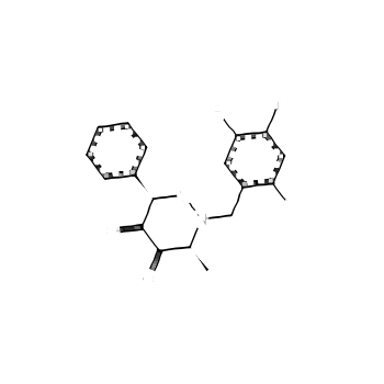 CC(C)c1cc(F)c(CN2S[C@H](c3ccccc3)C(=O)C(=O)[C@@H]2C)cc1F